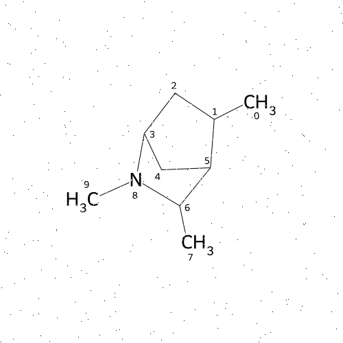 CC1CC2CC1C(C)N2C